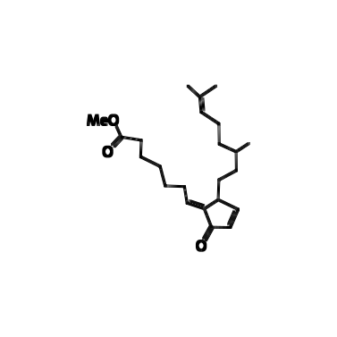 COC(=O)CCCCCC=C1C(=O)C=CC1CCC(C)CCC=C(C)C